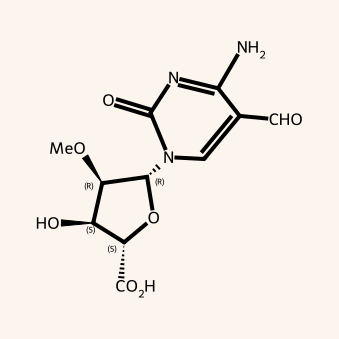 CO[C@@H]1[C@H](O)[C@@H](C(=O)O)O[C@H]1n1cc(C=O)c(N)nc1=O